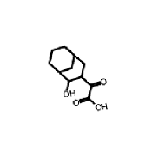 O=C(O)C(=O)C1CC2CCCC(C2)C1O